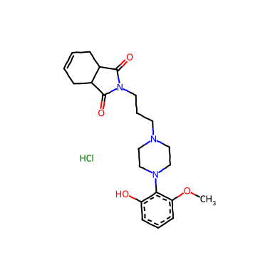 COc1cccc(O)c1N1CCN(CCCN2C(=O)C3CC=CCC3C2=O)CC1.Cl